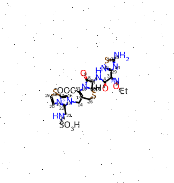 CCO/N=C(\C(=O)N[C@@H]1C(=O)N2C(C(=O)[O-])=C(Cn3cc4scc[n+]4c3CNS(=O)(=O)O)CS[C@H]12)c1nsc(N)n1